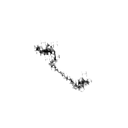 C[C@@H](NC(=O)c1cccc(NC2(C(=N)NC(=N)c3ccncn3)CCNCC2)c1)c1cccc(OCCCCCCOCCOCCNc2cccc3c2CN(C2CCC(=O)NC2=O)C3=O)c1